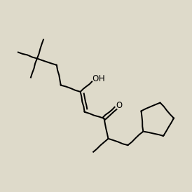 CC(CC1CCCC1)C(=O)/C=C(\O)CCC(C)(C)C